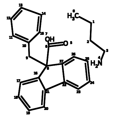 CCCCN.O=C(O)C1(Cc2ccccc2)c2ccccc2-c2ccccc21